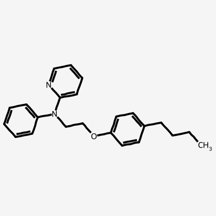 CCCCc1ccc(OCCN(c2ccccc2)c2ccccn2)cc1